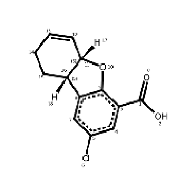 O=C(O)c1cc(Cl)cc2c1O[C@H]1C=CCC[C@@H]21